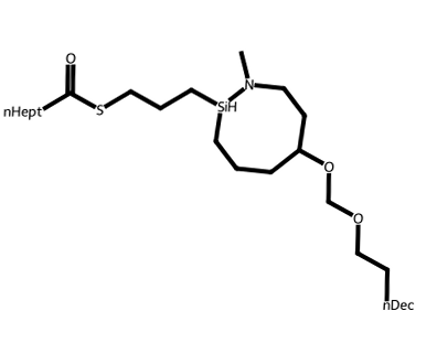 CCCCCCCCCCCCOCOC1CCC[SiH](CCCSC(=O)CCCCCCC)N(C)CC1